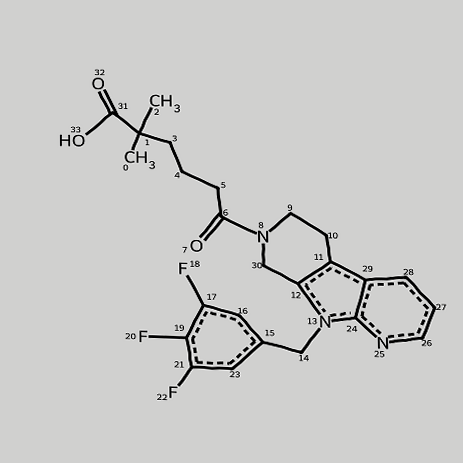 CC(C)(CCCC(=O)N1CCc2c(n(Cc3cc(F)c(F)c(F)c3)c3ncccc23)C1)C(=O)O